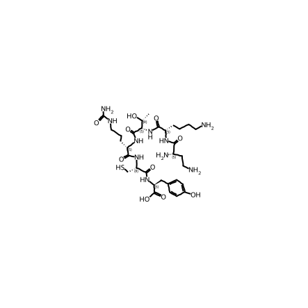 C[C@@H](O)[C@H](NC(=O)[C@H](CCCCN)NC(=O)[C@@H](N)CCN)C(=O)N[C@@H](CCCNC(N)=O)C(=O)N[C@@H](CS)C(=O)N[C@@H](Cc1ccc(O)cc1)C(=O)O